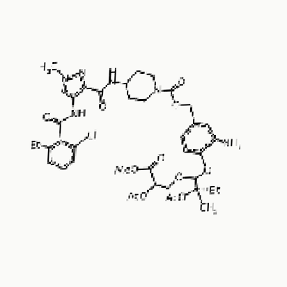 CCc1cccc(Cl)c1C(=O)Nc1cn(C)nc1C(=O)NC1CCN(C(=O)OCc2ccc(OC(OCC(OC(C)=O)C(=O)OC)[C@](C)(CC)OC(C)=O)c(N)c2)CC1